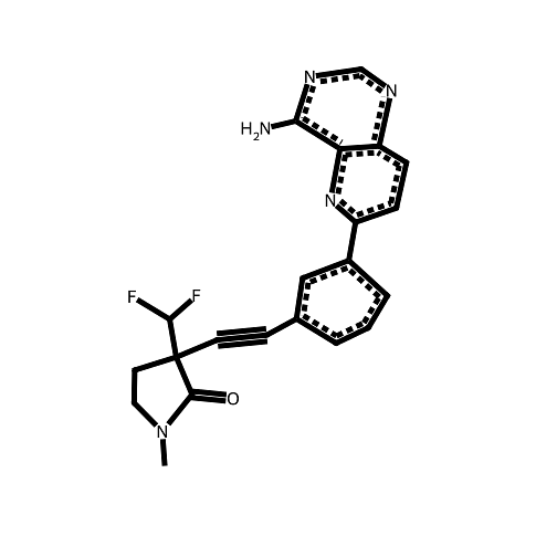 CN1CCC(C#Cc2cccc(-c3ccc4ncnc(N)c4n3)c2)(C(F)F)C1=O